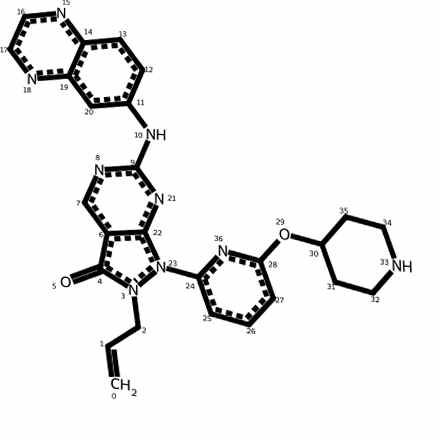 C=CCn1c(=O)c2cnc(Nc3ccc4nccnc4c3)nc2n1-c1cccc(OC2CCNCC2)n1